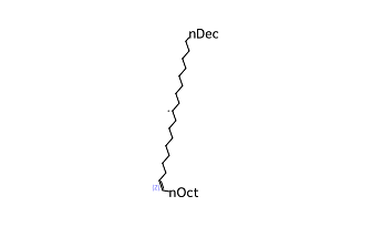 CCCCCCCC/C=C\CCCCCCC[CH]CCCCCCCCCCCCCCCCCC